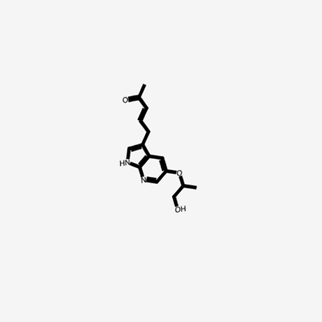 CC(=O)C=CCc1c[nH]c2ncc(OC(C)CO)cc12